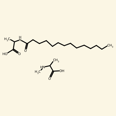 CCCCCCCCCCCCCC(=O)NC(C)C(=O)O.CNC(C)C(=O)O